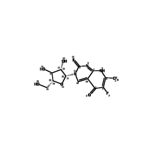 O=c1c(F)c(C(F)(F)F)[nH]c2nc(=S)n([C@@H]3O[C@H](CO)C(O)[C@@H]3O)cc12